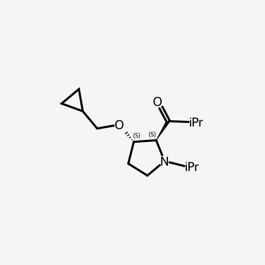 CC(C)C(=O)[C@@H]1[C@@H](OCC2CC2)CCN1C(C)C